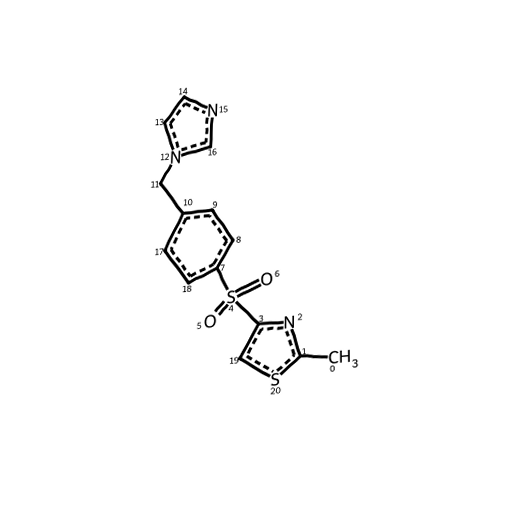 Cc1nc(S(=O)(=O)c2ccc(Cn3ccnc3)cc2)cs1